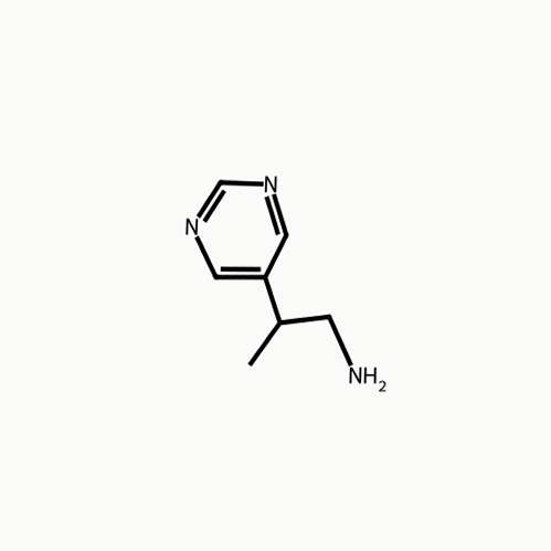 CC(CN)c1cncnc1